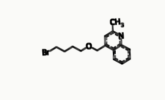 Cc1cc(COCCCCBr)c2ccccc2n1